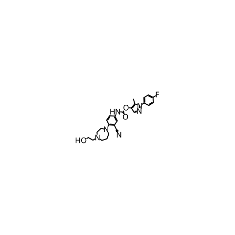 Cc1c(OC(=O)Nc2ccc(N3CCCN(CCO)CC3)c(C#N)c2)cnn1-c1ccc(F)cc1